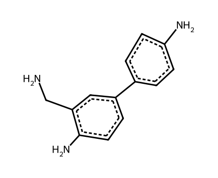 NCc1cc(-c2ccc(N)cc2)ccc1N